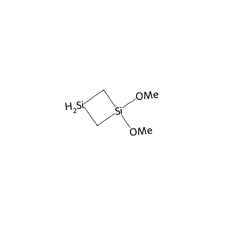 CO[Si]1(OC)C[SiH2]C1